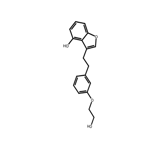 OCCOc1cccc(CCc2coc3cccc(O)c23)c1